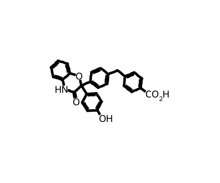 O=C(O)c1ccc(Cc2ccc(C3(c4ccc(O)cc4)Oc4ccccc4NC3=O)cc2)cc1